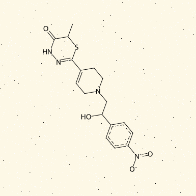 CC1SC(C2=CCN(CC(O)c3ccc([N+](=O)[O-])cc3)CC2)=NNC1=O